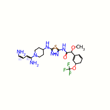 COC(C(=O)Nc1nnc(NC2CCN(/C(N)=C/C=C\N)CC2)s1)C1=CC(OC(F)(F)F)CC=C1